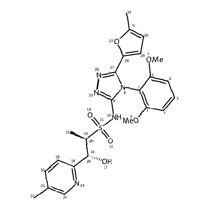 COc1cccc(OC)c1-n1c(NS(=O)(=O)[C@H](C)[C@H](O)c2ccc(C)cn2)nnc1-c1ccc(C)o1